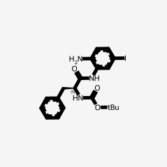 CC(C)(C)OC(=O)N[C@@H](Cc1ccccc1)C(=O)Nc1cc(I)ccc1N